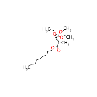 CCCCCCCCCOC(=O)C(C)=C[Si](OCC)(OCC)OCC